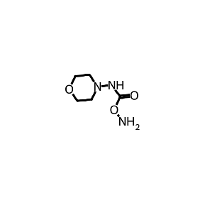 NOC(=O)NN1CCOCC1